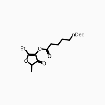 CCCCCCCCCCCCCCC(=O)OC1=C(CC)OC(C)C1=O